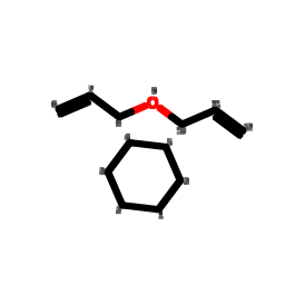 C1CCCCC1.C=CCOCC=C